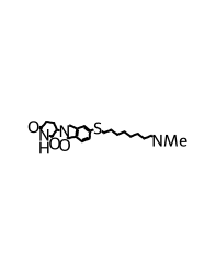 CNCCCCCCCCSc1ccc2c(c1)CN(C1CCC(=O)NC1=O)C2=O